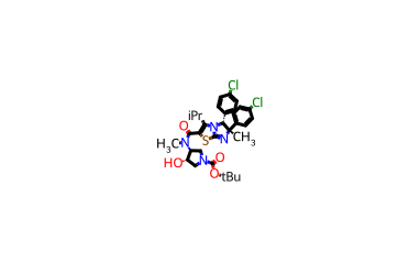 CC(C)C1=C(C(=O)N(C)[C@H]2CN(C(=O)OC(C)(C)C)C[C@@H]2O)SC2=N[C@@](C)(c3ccc(Cl)cc3)[C@@H](c3ccc(Cl)cc3)N21